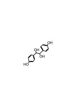 Oc1ccc(C(O)C(O)c2ccc(O)cc2)cc1